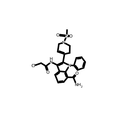 CS(=O)(=O)N1CC=C(c2c(NC(=O)CCl)c3cccc(C(N)=O)c3n2-c2ccccc2)CC1